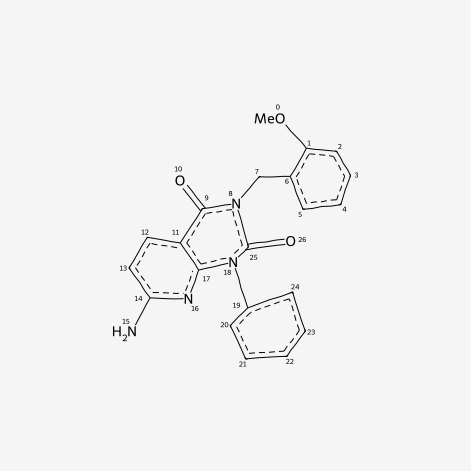 COc1ccccc1Cn1c(=O)c2ccc(N)nc2n(-c2ccccc2)c1=O